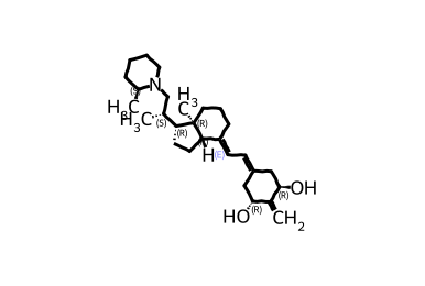 C=C1[C@H](O)CC(=C/C=C2\CCC[C@]3(C)[C@@H]([C@H](C)CN4CCCC[C@@H]4C)CC[C@@H]23)C[C@H]1O